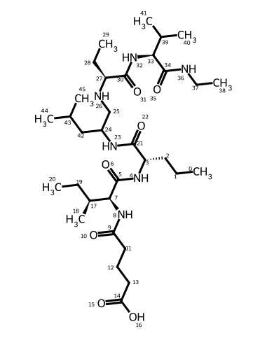 CCC[C@H](NC(=O)[C@@H](NC(=O)CCCC(=O)O)[C@@H](C)CC)C(=O)NC(CN[C@@H](CC)C(=O)N[C@H](C(=O)NCC)C(C)C)CC(C)C